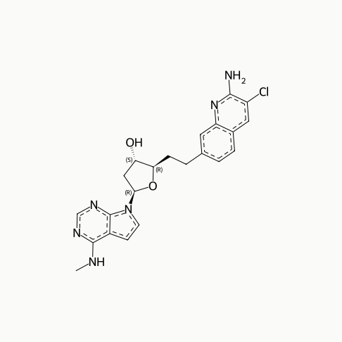 CNc1ncnc2c1ccn2[C@H]1C[C@H](O)[C@@H](CCc2ccc3cc(Cl)c(N)nc3c2)O1